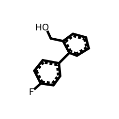 OCc1ccccc1-c1ccc(F)cc1